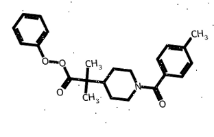 Cc1ccc(C(=O)N2CCC(C(C)(C)C(=O)OOc3ccccc3)CC2)cc1